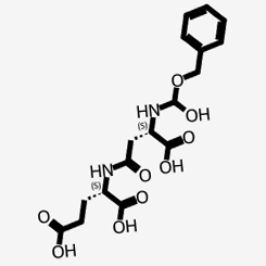 O=C(O)CC[C@H](NC(=O)C[C@H](NC(O)OCc1ccccc1)C(=O)O)C(=O)O